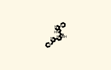 c1ncc(-c2ccc3[nH]nc(-c4cc5c(N6CCCCC6)cncc5[nH]4)c3n2)cc1CN1CCCCC1